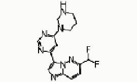 FC(F)c1ccc2ncc(-c3cc(N4CCCNC4)ncn3)n2n1